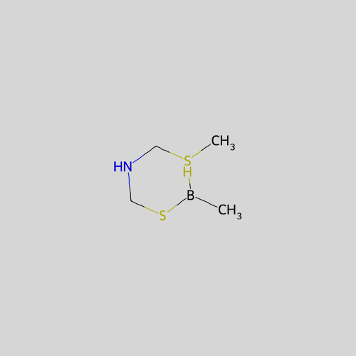 CB1SCNC[SH]1C